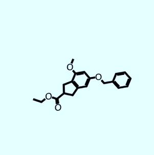 CCOC(=O)C1Cc2cc(OCc3ccccc3)cc(OC)c2C1